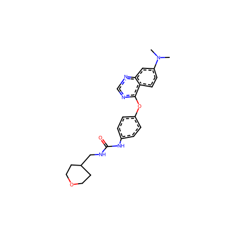 CN(C)c1ccc2c(Oc3ccc(NC(=O)NCC4CCOCC4)cc3)ncnc2c1